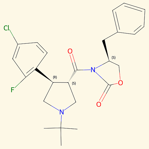 CC(C)(C)N1C[C@@H](C(=O)N2C(=O)OC[C@@H]2Cc2ccccc2)[C@H](c2ccc(Cl)cc2F)C1